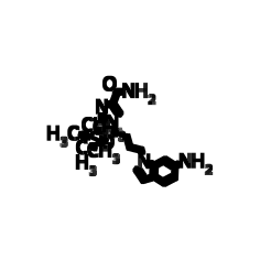 CC(C)(C)[Si](C)(C)O[C@H](CCCn1ccc2ccc(N)cc21)n1cnc(C(N)=O)c1